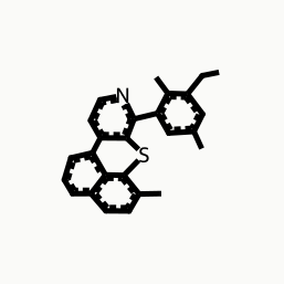 CCc1cc(C)cc(-c2nccc3c2Sc2c(C)ccc4cccc-3c24)c1C